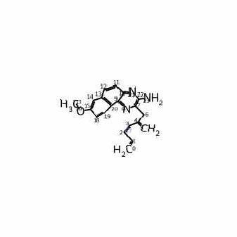 C=C/C=C\C(=C)Cc1nc2c(ccc3cc(OC)ccc32)nc1N